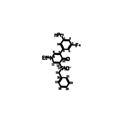 CCCc1cc(F)cc(-c2cn(CC)cc([S+]([O-])Cc3ccccc3)c2=O)c1